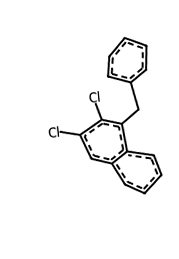 Clc1cc2ccccc2c(Cc2ccccc2)c1Cl